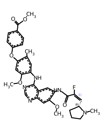 COC(=O)c1ccc(Oc2cc(OC)c(Nc3ncnc4cc(OC)c(NC(=O)/C(F)=C\[C@H]5CCCN5C)cc34)cc2C)cc1